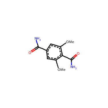 COc1cc(C(N)=O)cc(OC)c1C(N)=O